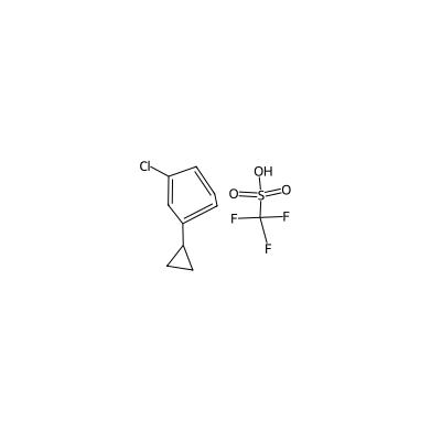 Clc1cccc(C2CC2)c1.O=S(=O)(O)C(F)(F)F